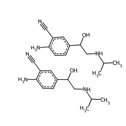 CC(C)NCC(O)c1ccc(N)c(C#N)c1.CC(C)NCC(O)c1ccc(N)c(C#N)c1